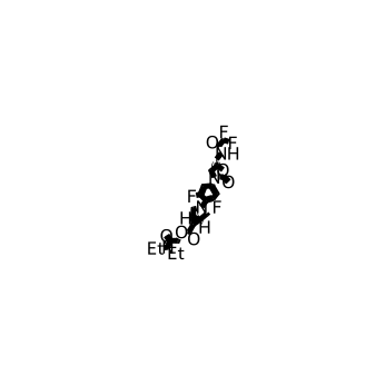 CCN(CC)C(=O)COC(=O)C1[C@H]2CN(c3c(F)cc(N4C[C@H](CNC(=O)C(F)F)OC4=O)cc3F)C[C@@H]12